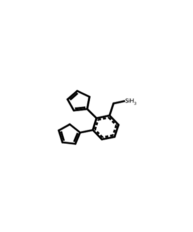 [SiH3]Cc1cccc(C2=CC=CC2)c1C1=CC=CC1